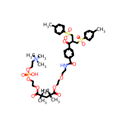 Cc1ccc(S(=O)(=O)CC(CS(=O)(=O)c2ccc(C)cc2)C(=O)c2ccc(C(=O)NCCOCCOC(=O)C(C)(C)CC(C)(C)C(=O)OCCOP(=O)(O)OCC[N+](C)(C)C)cc2)cc1